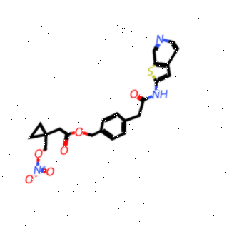 O=C(Cc1ccc(COC(=O)CC2(CO[N+](=O)[O-])CC2)cc1)Nc1cc2ccncc2s1